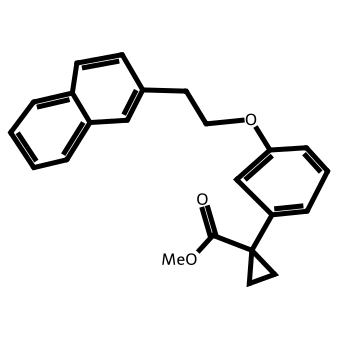 COC(=O)C1(c2cccc(OCCc3ccc4ccccc4c3)c2)CC1